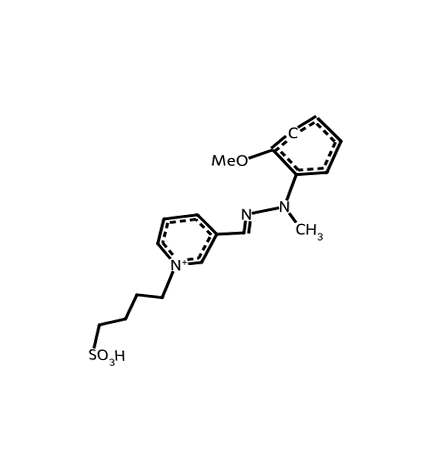 COc1ccccc1N(C)N=Cc1ccc[n+](CCCCS(=O)(=O)O)c1